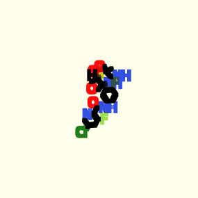 CC1(C)C(=N)N[C@@]2(c3cc(NC(=O)c4ncc(Cl)cc4F)ccc3F)COC[C@H]2S1(=O)=O